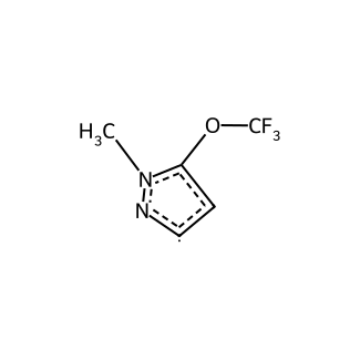 Cn1n[c]cc1OC(F)(F)F